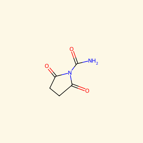 NC(=O)N1C(=O)CCC1=O